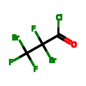 O=C(Cl)C(F)(Br)C(F)(F)Br